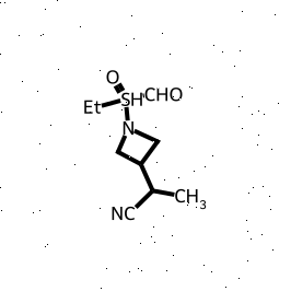 CC[SH](=O)(C=O)N1CC(C(C)C#N)C1